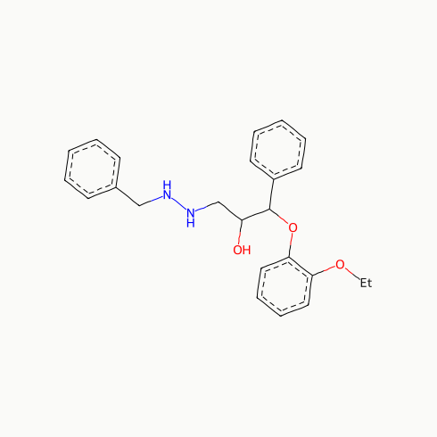 CCOc1ccccc1OC(c1ccccc1)C(O)CNNCc1ccccc1